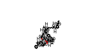 C=CC(=O)Nc1cccc(NC(=O)CCCCC(=O)N[C@H](C(=O)N[C@@H](CCCNC(N)=O)C(=O)Nc2ccc(COC(=O)N(C)[C@H](C(=O)N[C@H](C(=O)N(C)[C@@H]([C@@H](C)CC)[C@@H](CC(=O)N3CCC[C@H]3[C@H](OC)[C@@H](C)C(=O)N[C@H](C)[C@@H](O)c3ccccc3)OC)C(C)C)C(C)C)cc2)C(C)C)c1